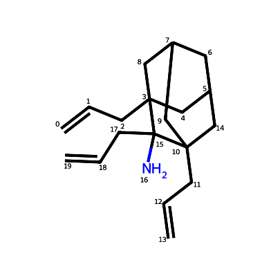 C=CCC12CC3CC(C1)CC(CC=C)(C3)C2(N)CC=C